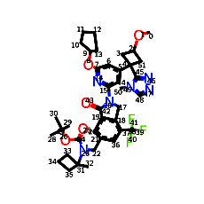 COC1CC(c2cc(OC3CCCC3)nc(N3Cc4c(cc(CN(C(=O)OC(C)(C)C)C5(C)CCC5)cc4C(F)(F)F)C3=O)c2)(c2nncn2C)C1